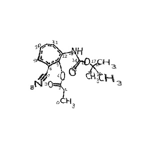 CCC(=O)Oc1c(C#N)cccc1NC(=O)OC(C)(C)C